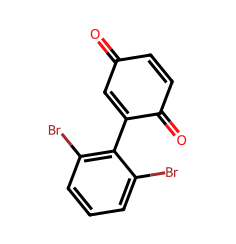 O=C1C=CC(=O)C(c2c(Br)cccc2Br)=C1